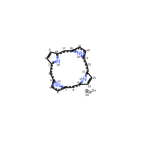 C1=Cc2cc3ccc(cc4nc(cc5ccc(cc1n2)[nH]5)C=C4)[nH]3.[Ru+2]